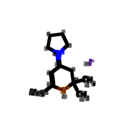 CSC1=CC(=[N+]2CCCC2)CC(C)(C)S1.[I-]